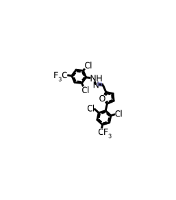 FC(F)(F)c1cc(Cl)c(N/N=C/c2ccc(-c3c(Cl)cc(C(F)(F)F)cc3Cl)o2)c(Cl)c1